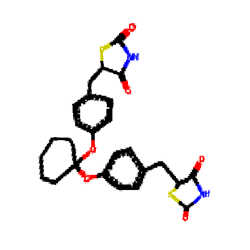 O=C1NC(=O)C(Cc2ccc(OC3(Oc4ccc(CC5SC(=O)NC5=O)cc4)CCCCC3)cc2)S1